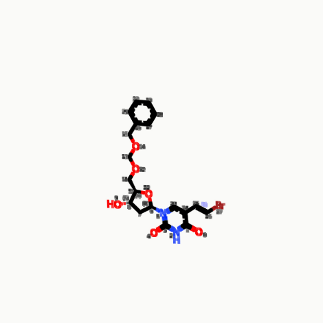 O=c1[nH]c(=O)n([C@H]2C[C@H](O)[C@@H](COCOCc3ccccc3)O2)cc1/C=C/Br